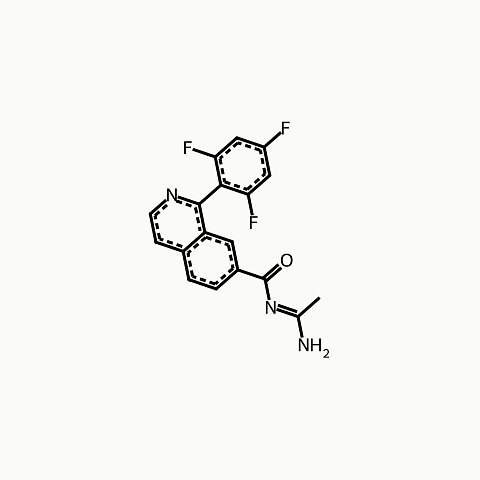 C/C(N)=N\C(=O)c1ccc2ccnc(-c3c(F)cc(F)cc3F)c2c1